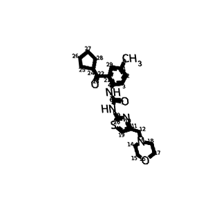 Cc1ccc(NC(=O)Nc2nc(CN3CCOCC3)cs2)c(C(=O)C2CCCC2)c1